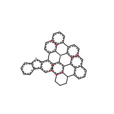 c1ccc(-c2ccccc2N(c2ccccc2-c2cccc3c2sc2ccccc23)c2ccccc2-c2cccc3cccc(C4CCCCC4)c23)cc1